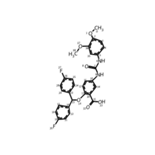 COc1ccc(NC(=O)Nc2ccc(OC(c3ccc(F)cc3)c3ccc(F)cc3)c(C(=O)O)c2)cc1OC